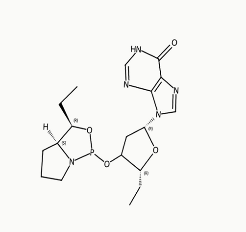 CC[C@H]1O[C@@H](n2cnc3c(=O)[nH]cnc32)CC1OP1O[C@H](CC)[C@@H]2CCCN21